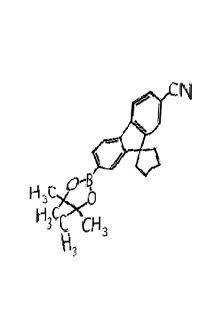 CC1(C)OB(c2ccc3c(c2)C2(CCCC2)c2cc(C#N)ccc2-3)OC1(C)C